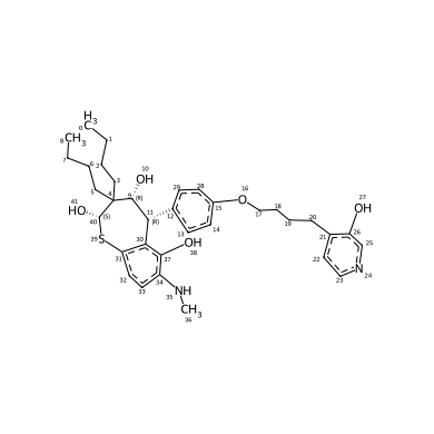 CCCCC1(CCCC)[C@H](O)[C@H](c2ccc(OCCCCc3ccncc3O)cc2)c2c(ccc(NC)c2O)S[C@@H]1O